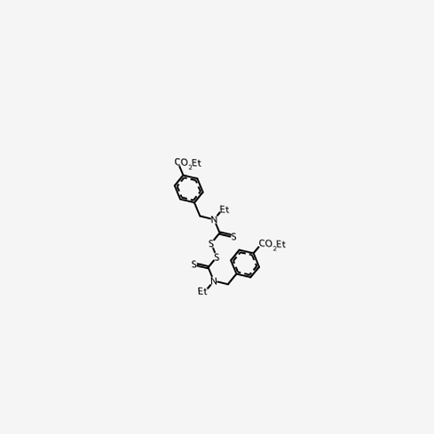 CCOC(=O)c1ccc(CN(CC)C(=S)SSC(=S)N(CC)Cc2ccc(C(=O)OCC)cc2)cc1